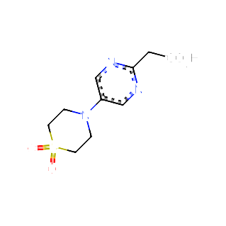 O=C(O)Cc1ncc(N2CCS(=O)(=O)CC2)cn1